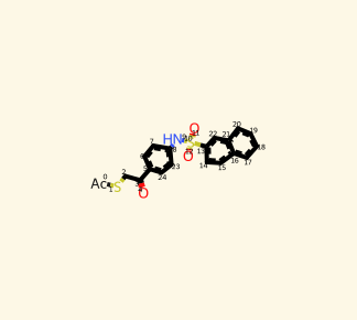 CC(=O)SCC(=O)c1ccc(NS(=O)(=O)c2ccc3ccccc3c2)cc1